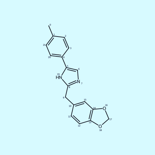 Cc1ccc(-c2cnc(Cc3ccc4c(c3)OCO4)[nH]2)cc1